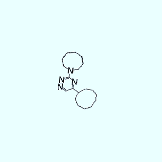 c1nnc(N2CCCCCCC2)nc1C1CCCCCCCC1